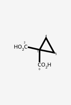 O=C(O)C1(C(=O)O)[CH]C1